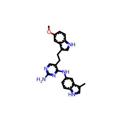 COc1ccc2[nH]cc(CCc3cnc(N)nc3Nc3ccc4[nH]cc(C)c4c3)c2c1